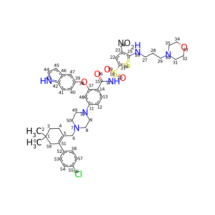 CC1(C)CCC(CN2CCN(c3ccc(C(=O)NS(=O)(=O)c4cc([N+](=O)[O-])c(NCCCN5CCOCC5)s4)c(Oc4ccc5[nH]ccc5c4)c3)CC2)=C(c2ccc(Cl)cc2)C1